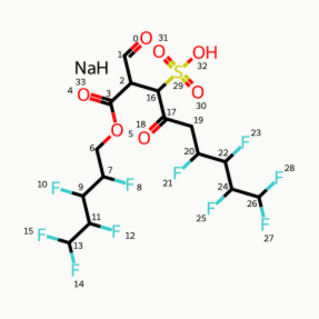 O=CC(C(=O)OCC(F)C(F)C(F)C(F)F)C(C(=O)CC(F)C(F)C(F)C(F)F)S(=O)(=O)O.[NaH]